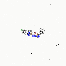 Cc1cccc(-c2nnc(NC(=O)CSc3nnc(-c4ccc(F)cc4)n3C)s2)c1